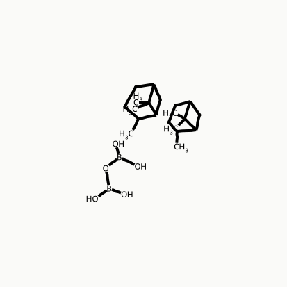 CC1CCC2CC1C2(C)C.CC1CCC2CC1C2(C)C.OB(O)OB(O)O